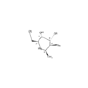 C[C@H]1N[C@@H](CO)[C@H](O)[C@H](O)[C@H]1O